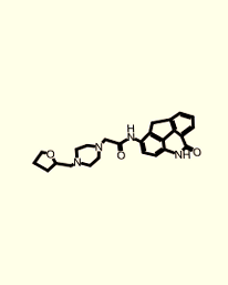 O=C(CN1CCN(CC2CCCO2)CC1)Nc1ccc2[nH]c(=O)c3cccc4c3c2c1C4